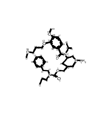 BN1CC(COC(=O)N(CCC)CCc2ccccc2)CC(N(C(=O)c2ccc(OC)c(OCCCOC)c2)C(C)C)C1